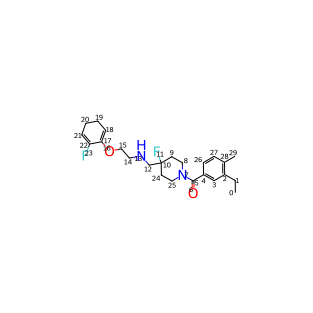 CCc1cc(C(=O)N2CCC(F)(CNCCOC3=CCCC=C3F)CC2)ccc1C